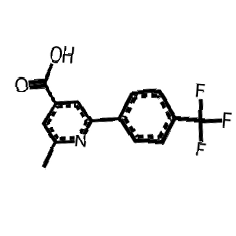 Cc1cc(C(=O)O)cc(-c2ccc(C(F)(F)F)cc2)n1